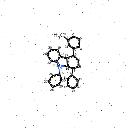 Cc1cccc(-c2ccc(-c3ccccc3)c3c2c2ccccc2n3-c2ccccc2)c1